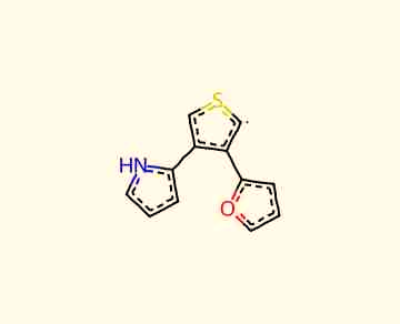 [c]1scc(-c2ccc[nH]2)c1-c1ccco1